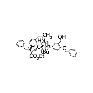 CCOC(=O)c1cc2cc(C[C@@H](C)NC[C@@H](O[Si](C)(C)C(C)(C)C)c3ccc(OCc4ccccc4)c(CO)c3)ccc2n1Cc1ccccc1